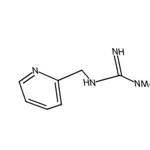 CNC(=N)NCc1ccccn1